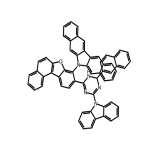 c1ccc2cc(C3N=C(n4c5ccccc5c5ccccc54)N=C(c4ccc5c(oc6ccc7ccccc7c65)c4-n4c5cc6ccccc6cc5c5cc6ccccc6cc54)N3)ccc2c1